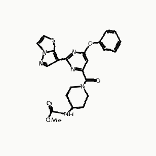 COC(=O)NC1CCN(C(=O)c2cc(Oc3ccccc3)nc(-c3cnn4ccsc34)n2)CC1